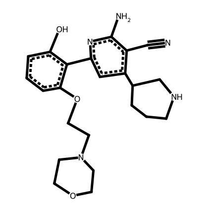 N#Cc1c(C2CCCNC2)cc(-c2c(O)cccc2OCCN2CCOCC2)nc1N